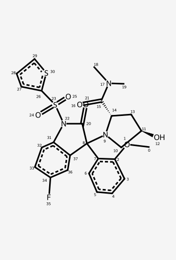 COc1ccccc1C1(N2C[C@H](O)C[C@H]2C(=O)N(C)C)C(=O)N(S(=O)(=O)c2cccs2)c2ccc(F)cc21